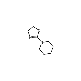 C1CCN(C2=NCCO2)CC1